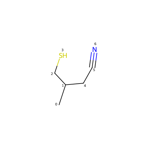 CC(CS)CC#N